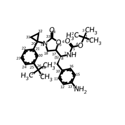 CC(C)(C)OC(=O)N[C@@H](Cc1ccc(N)cc1)C1CN(C2(c3cccc(C(C)(C)C)c3)CC2)C(=O)O1